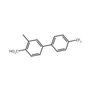 Cc1cc(-c2ccc(C(F)(F)F)cc2)ccc1C(=O)O